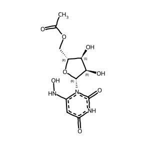 CC(=O)OC[C@H]1O[C@@H](n2c(NO)cc(=O)[nH]c2=O)[C@H](O)[C@@H]1O